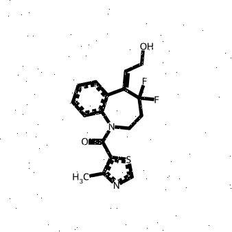 Cc1ncsc1C(=O)N1CCC(F)(F)/C(=C\CO)c2ccccc21